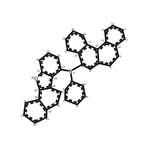 c1ccc(N(c2cc3ccc4ccccc4c3c3ccccc23)c2cccc3oc4c5ccccc5ccc4c23)cc1